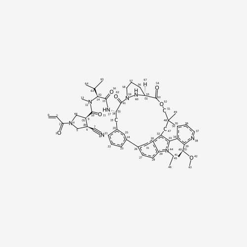 C=CC(=O)N1C[C@H](C#N)[C@H](C(=O)N(C)[C@H](C(=O)N[C@H]2Cc3cccc(c3)-c3ccc4c(c3)c(c(-c3cccnc3[C@H](C)OC)n4CC)CC(C)(C)COC(=O)[C@@H]3CCCN(N3)C2=O)C(C)C)C1